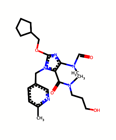 Cc1ccc(Cn2c(OCC3CCCC3)nc(N(C)C=O)c2C(=O)N(C)CCCO)cn1